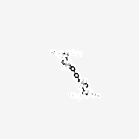 COC(=O)N[C@@H](CCC(=O)O)C(=O)N1CCC[C@H]1c1ncc(-c2ccc(-c3ccc4nc([C@@H]5CCCN5C(=O)[C@H](CCC(=O)O)NC(=O)OC)[nH]c4c3)cc2)[nH]1